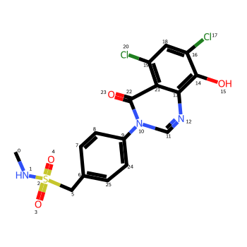 CNS(=O)(=O)Cc1ccc(-n2cnc3c(O)c(Cl)cc(Cl)c3c2=O)cc1